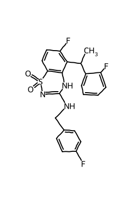 CC(c1ccccc1F)c1c(F)ccc2c1NC(NCc1ccc(F)cc1)=NS2(=O)=O